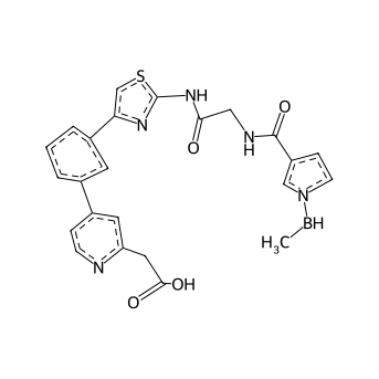 CBn1ccc(C(=O)NCC(=O)Nc2nc(-c3cccc(-c4ccnc(CC(=O)O)c4)c3)cs2)c1